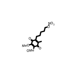 COC1=C(OC)C(=O)C(CCCCCO[N+](=O)[O-])=C(C)C1=O